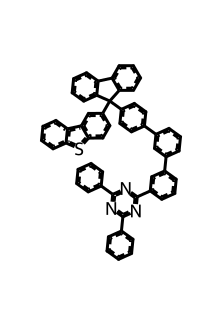 c1ccc(-c2nc(-c3ccccc3)nc(-c3cccc(-c4cccc(-c5ccc(C6(c7ccc8sc9ccccc9c8c7)c7ccccc7-c7ccccc76)cc5)c4)c3)n2)cc1